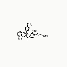 CCCCCCCCCCCCOc1ccc(CN(Cc2cccc[n+]2CCC)S(=O)(=O)c2ccc(C)cc2)cc1C(C)(C)C.[I-]